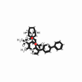 CC(=O)NCC(=O)N1[C@@H]2CC[C@H]1C[C@@H](c1nc3c(-c4ccc(-c5ccccc5)nc4)cnn3c(N)c1S(C)(=O)=O)C2